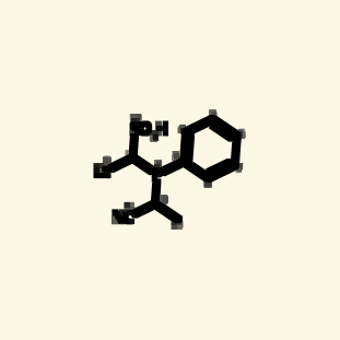 CCC(P(c1ccccc1)C(C)C#N)S(=O)(=O)O